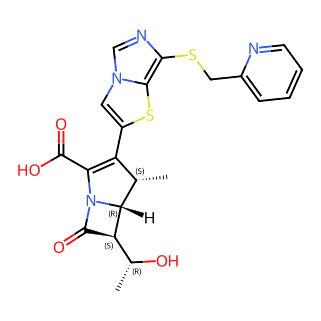 C[C@@H](O)[C@H]1C(=O)N2C(C(=O)O)=C(c3cn4cnc(SCc5ccccn5)c4s3)[C@H](C)[C@H]12